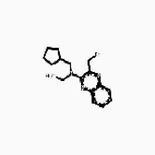 CCN(CC1CCCC1)c1nc2ccccc2nc1CBr